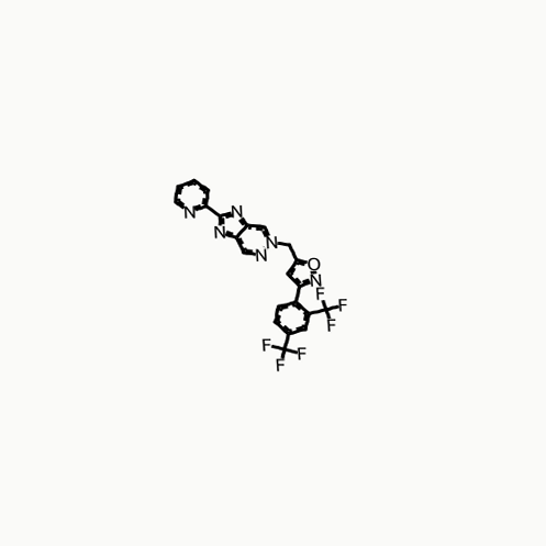 FC(F)(F)c1ccc(-c2cc(Cn3cc4nc(-c5ccccn5)nc-4cn3)on2)c(C(F)(F)F)c1